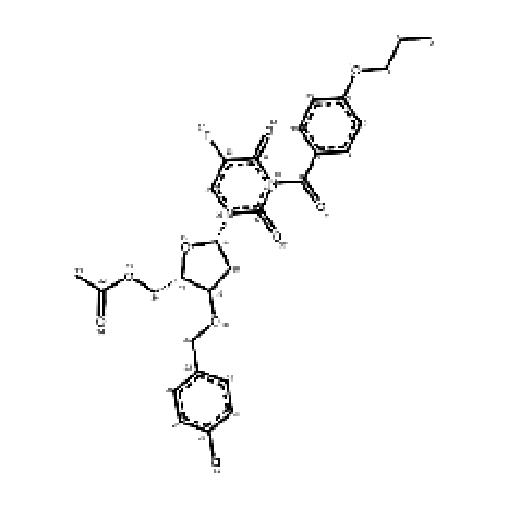 CCCOc1ccc(C(=O)n2c(=O)c(F)cn([C@@H]3CC(OCc4ccc(Cl)cc4)[C@H](COC(C)=O)O3)c2=O)cc1